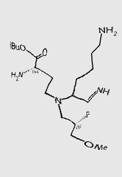 COC[C@@H](F)CN(CC[C@H](N)C(=O)OCC(C)C)C(C=N)CCCCN